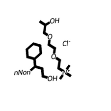 CC(O)COCCOCC[N+](C)(C)C.CCCCCCCCCC(CCO)C1CCCCC1.[Cl-]